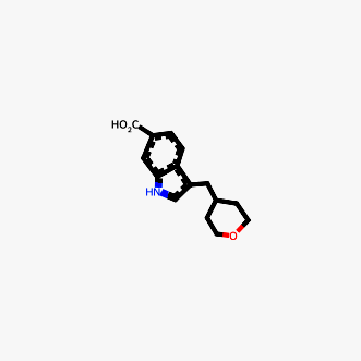 O=C(O)c1ccc2c(CC3CCOCC3)c[nH]c2c1